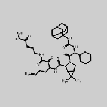 C=CCCC(NC(=O)[C@@H]1C2C(CN1C(=O)[C@@H](NC(=O)NC13CC4CC(CC(C4)C1)C3)C1CCCCC1)C2(C)C)C(=O)C(=O)NC/C=C/C(=O)NC(C)(C)C